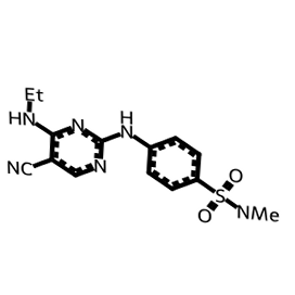 CCNc1nc(Nc2ccc(S(=O)(=O)NC)cc2)ncc1C#N